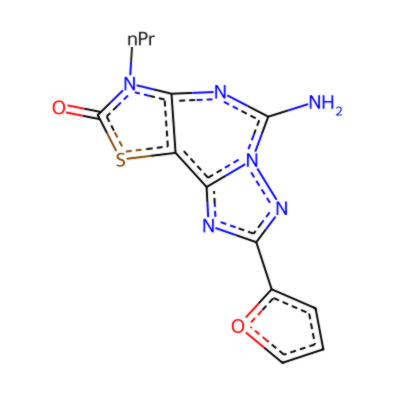 CCCn1c(=O)sc2c1nc(N)n1nc(-c3ccco3)nc21